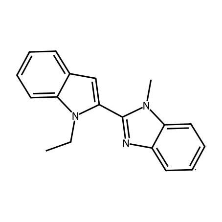 CCn1c(-c2nc3c[c]ccc3n2C)cc2ccccc21